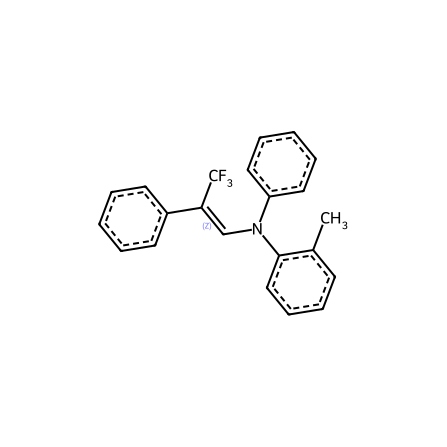 Cc1ccccc1N(/C=C(/c1ccccc1)C(F)(F)F)c1ccccc1